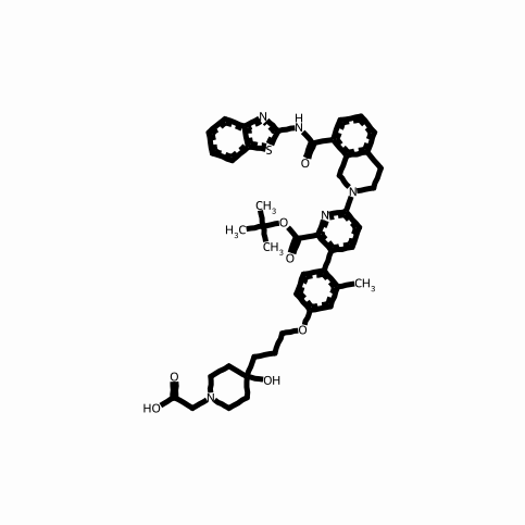 Cc1cc(OCCCC2(O)CCN(CC(=O)O)CC2)ccc1-c1ccc(N2CCc3cccc(C(=O)Nc4nc5ccccc5s4)c3C2)nc1C(=O)OC(C)(C)C